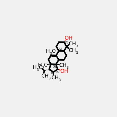 CC(C)[C@H]1[C@H](C)[C@H](O)[C@@]2(C)C3CCC4C(C)(C)[C@@H](O)CC[C@]4(C)C3=CC[C@]12C